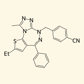 CCc1cc2c(s1)-n1c(C)nnc1N(Cc1ccc(C#N)cc1)N=C2c1ccccc1